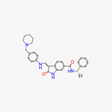 CC[C@H](NC(=O)c1ccc2c(c1)NC(=O)/C2=C\Nc1ccc(CN2CCCCC2)cc1)c1ccccc1